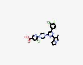 CC1CN2CCCC2C1c1nc(-c2ccc(F)c(Cl)c2)cc(N2CCN(c3ncc(C(=O)O)cc3Cl)CC2)n1